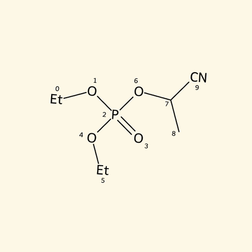 CCOP(=O)(OCC)OC(C)C#N